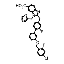 O=C(O)c1ccc2nc(Cc3ccc(-c4cccc(OCc5ccc(Cl)cc5F)c4)c(F)c3)n(Cc3cnco3)c2c1